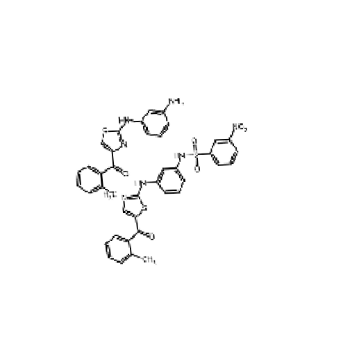 Cc1ccccc1C(=O)c1cnc(Nc2cccc(NS(=O)(=O)c3cccc([N+](=O)[O-])c3)c2)s1.Cc1ccccc1C(=O)c1csc(Nc2cccc(N)c2)n1